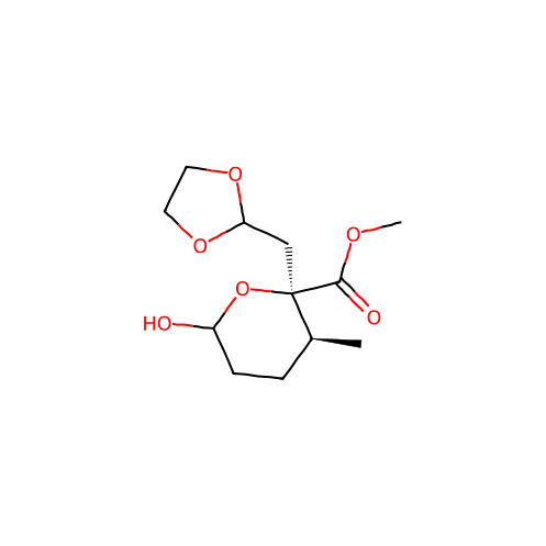 COC(=O)[C@]1(CC2OCCO2)OC(O)CC[C@@H]1C